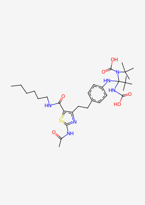 CCCCCCNC(=O)c1sc(NC(C)=O)nc1CCc1ccc(NC(NC(=O)O)(N(C(=O)O)C(C)(C)C)C(C)(C)C)cc1